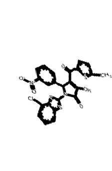 Cc1ccc(C(=O)C2=C(O)C(=O)N(c3nc4c(Cl)cccc4s3)C2c2cccc([N+](=O)[O-])c2)s1